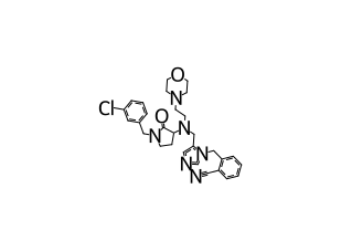 N#Cc1ccccc1Cn1cncc1CN(CCN1CCOCC1)C1CCN(Cc2cccc(Cl)c2)C1=O